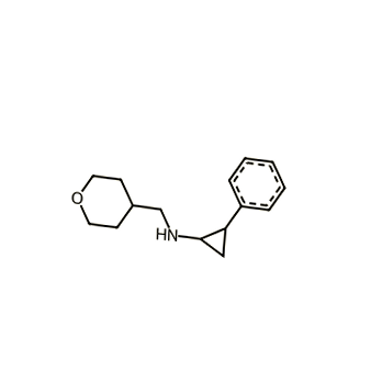 c1ccc(C2CC2NCC2CCOCC2)cc1